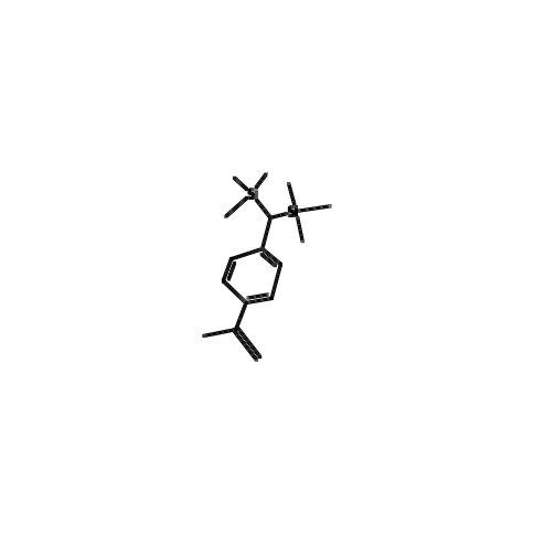 C=C(C)c1ccc(C([Si](C)(C)C)[Si](C)(C)C)cc1